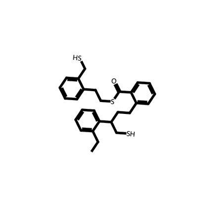 CCc1ccccc1C(CS)CCc1ccccc1C(=O)SCCc1ccccc1CS